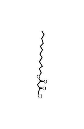 CCCCCCCCCCCCOC(=O)CC(=O)CCl